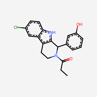 CCC(=O)N1CCc2c([nH]c3ccc(Cl)cc23)C1c1cccc(O)c1